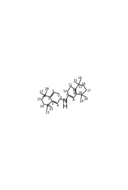 C/C=C1\C(=C/CNC2=CC3=C(CC2)C(C)(C)CCC3(C)C)C(C)(C)CCC1(C)C